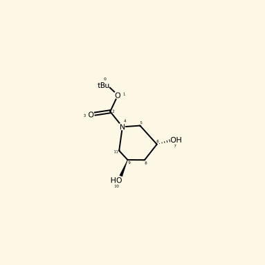 CC(C)(C)OC(=O)N1C[C@H](O)C[C@@H](O)C1